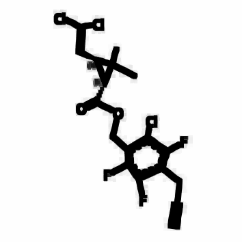 C#CCc1c(F)c(F)c(COC(=O)[C@@H]2[C@@H](C=C(Cl)Cl)C2(C)C)c(Cl)c1F